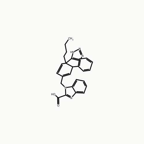 CCCCC1(c2nnn[nH]2)C=CC(Cn2c(C(=O)O)nc3ccccc32)=CC1c1ccccc1